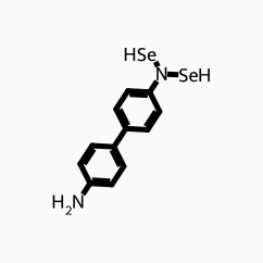 Nc1ccc(-c2ccc(N([SeH])[SeH])cc2)cc1